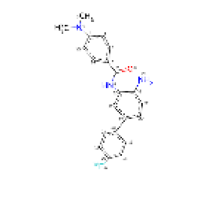 CN(C)c1ccc(C(=O)Nc2cc(-c3ccc([18F])cc3)ccc2N)cc1